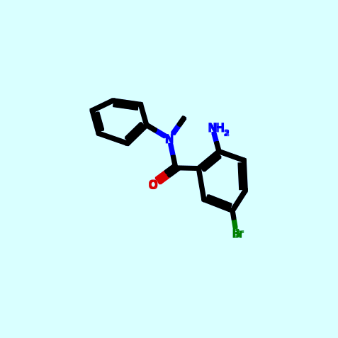 CN(C(=O)c1cc(Br)ccc1N)c1ccccc1